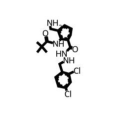 CC(C)(C)C(=O)Nc1c(CN)cccc1C(=O)NNCc1ccc(Cl)cc1Cl